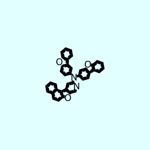 c1ccc2c(c1)ccc1oc3cnc(N(c4ccc5c(c4)oc4ccccc45)c4ccc5oc6ccccc6c5c4)cc3c12